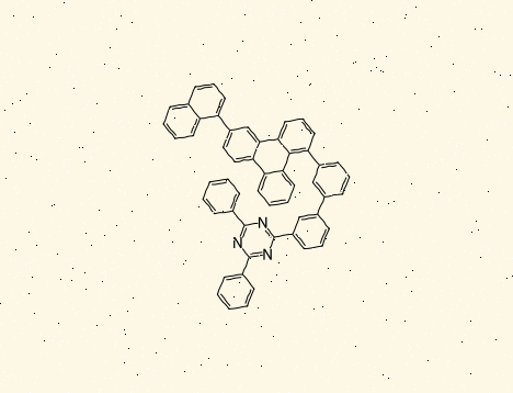 c1ccc(-c2nc(-c3ccccc3)nc(-c3cccc(-c4cccc(-c5cccc6c7cc(-c8cccc9ccccc89)ccc7c7ccccc7c56)c4)c3)n2)cc1